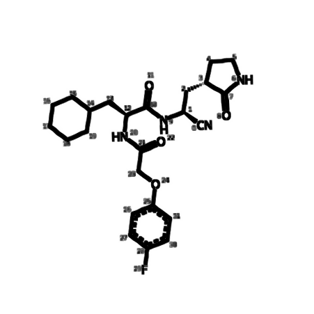 N#C[C@H](C[C@@H]1CCNC1=O)NC(=O)[C@H](CC1CCCCC1)NC(=O)COc1ccc(F)cc1